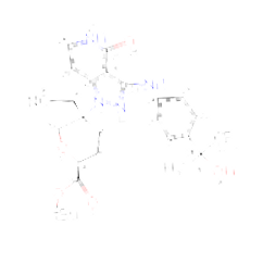 CC(C)(C)OC(=O)[C@@H]1CC[C@@](CC#N)(n2nc(Nc3ccc(C(C)(O)C(F)(F)F)cc3)c3c(=O)[nH]ccc32)CO1